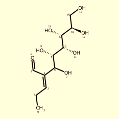 CCC=C([C]=O)C(O)[C@H](O)[C@@H](O)[C@H](O)[C@H](O)CO